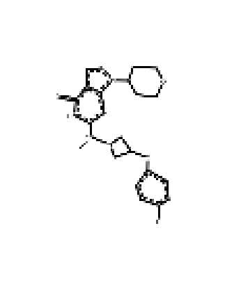 C[C@H](c1nc2c(cnn2C2CCOCC2)c(=O)[nH]1)N1CC(Oc2ccc(F)cc2)C1